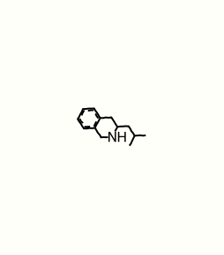 CC(C)CC1Cc2ccccc2CN1